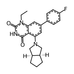 CCn1c(=O)[nH]c(=O)c2c(N3C[C@H]4CCC[C@H]4C3)cc(-c3ccc(F)cc3)cc21